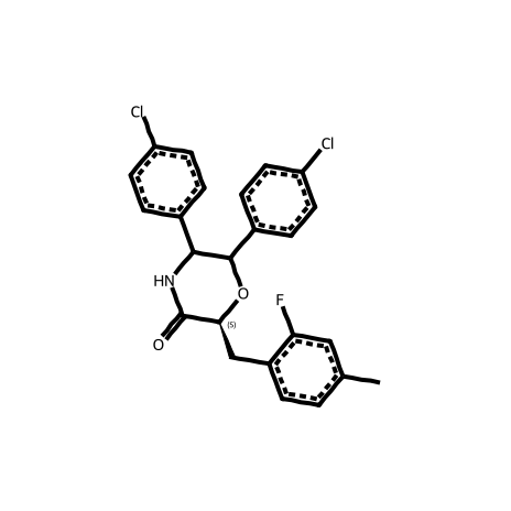 Cc1ccc(C[C@@H]2OC(c3ccc(Cl)cc3)C(c3ccc(Cl)cc3)NC2=O)c(F)c1